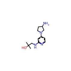 CC(C)(O)CNc1cc(N2CCC(N)C2)ccn1